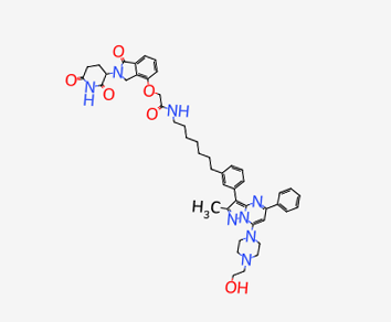 Cc1nn2c(N3CCN(CCO)CC3)cc(-c3ccccc3)nc2c1-c1cccc(CCCCCCCNC(=O)COc2cccc3c2CN(C2CCC(=O)NC2=O)C3=O)c1